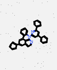 c1ccc(-c2cc(-c3ccccc3)nc(N3c4ccccc4-c4cc(-c5ccccc5)cc5ccnc3c45)c2)cc1